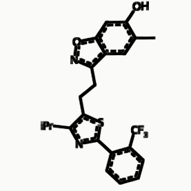 Cc1cc2c(CCc3sc(-c4ccccc4C(F)(F)F)nc3C(C)C)noc2cc1O